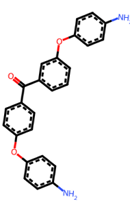 Nc1ccc(Oc2ccc(C(=O)c3cccc(Oc4ccc(N)cc4)c3)cc2)cc1